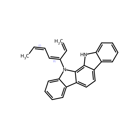 C=C/C(=C\C=C/C)n1c2ccccc2c2ccc3c4ccccc4[nH]c3c21